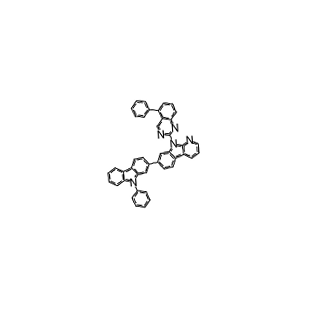 c1ccc(-c2cccc3nc(-n4c5cc(-c6ccc7c8ccccc8n(-c8ccccc8)c7c6)ccc5c5cccnc54)ncc23)cc1